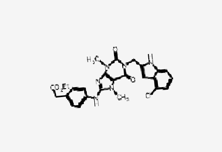 CCOC(=O)Cc1ccc(Nc2nc3c(c(=O)n(Cc4cc5c(Cl)cccc5[nH]4)c(=O)n3C)n2C)cc1